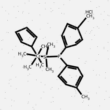 Cc1ccc(P(c2ccc(C)cc2)[Si](C)(C)[Cr]([CH3])([CH3])([CH3])([CH3])[CH]2C=CC=C2)cc1.Cl